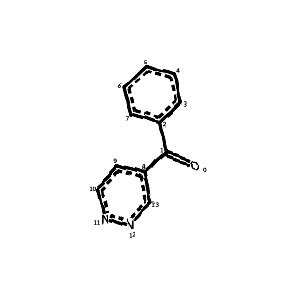 O=C(c1ccccc1)c1ccnnc1